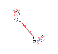 CC(C)(C)OC(=O)N1C(=O)CCC(N2Cc3c(C#CCOCCOCCOCCOCCOCC#Cc4cccc5c4CN(C4CCC(=O)N(C(=O)OC(C)(C)C)C4=O)C5=O)cccc3C2=O)C1=O